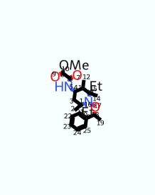 CCC1(C)CC(NC(=O)C(=O)OC)C(C)C(C)(CC)N1OC(C)c1ccccc1